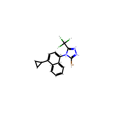 FC(F)(F)c1nnc(S)n1-c1ccc(C2CC2)c2ccccc12